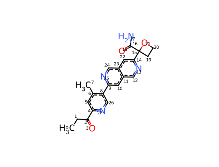 CCC(=O)c1cc(C)c(-c2cc3cnc(C4(C(N)=O)CCO4)cc3cn2)cn1